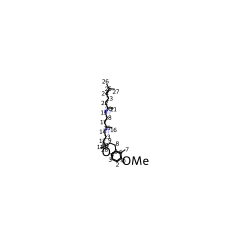 COc1ccc2c(c1C)CC[C@@](C)(CC/C=C(\C)CC/C=C(\C)CCC=C(C)C)O2